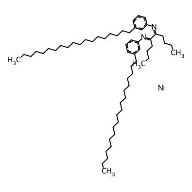 CCCCCCCCCCCCCCCCCCCc1cccc(N=C(CCCC)C(CCCC)=Nc2cccc(CCCCCCCCCCCCCCCCCCC)c2)c1.[Ni]